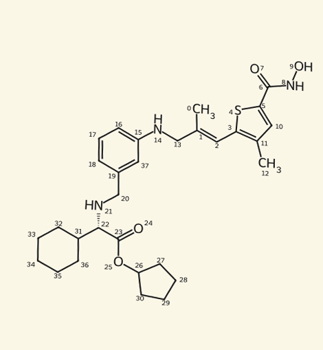 C/C(=C\c1sc(C(=O)NO)cc1C)CNc1cccc(CN[C@H](C(=O)OC2CCCC2)C2CCCCC2)c1